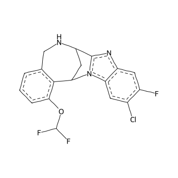 Fc1cc2nc3n(c2cc1Cl)C1CC3NCc2cccc(OC(F)F)c21